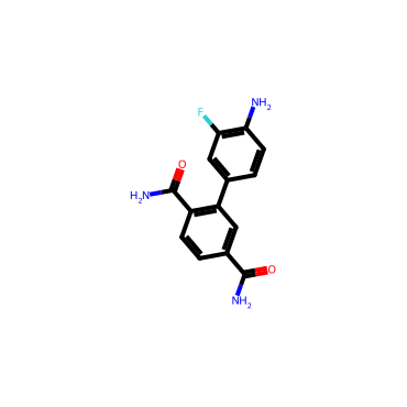 NC(=O)c1ccc(C(N)=O)c(-c2ccc(N)c(F)c2)c1